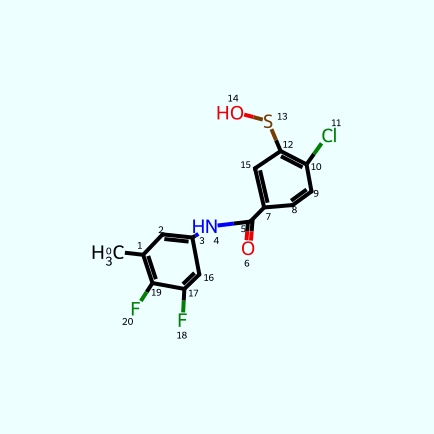 Cc1cc(NC(=O)c2ccc(Cl)c(SO)c2)cc(F)c1F